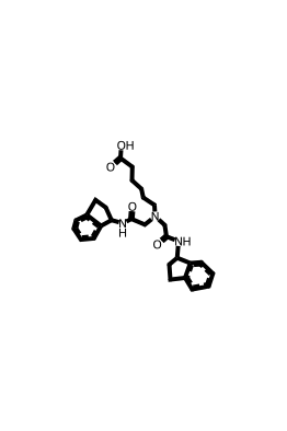 O=C(O)CCCCCN(CC(=O)NC1CCc2ccccc21)CC(=O)NC1CCc2ccccc21